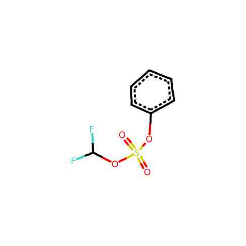 O=S(=O)(Oc1ccccc1)OC(F)F